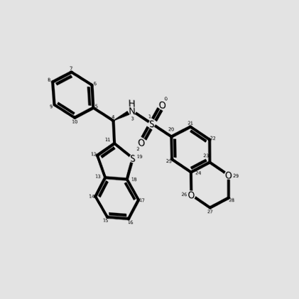 O=S(=O)(N[C@H](c1ccccc1)c1cc2ccccc2s1)c1ccc2c(c1)OCCO2